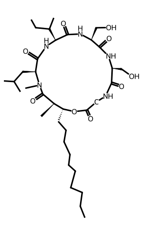 CCCCCCCCCC[C@H]1OC(=O)CNC(=O)[C@H](CO)NC(=O)[C@H](CO)NC(=O)[C@H](C(C)CC)NC(=O)[C@H](CC(C)C)N(C)C(=O)[C@@H]1C